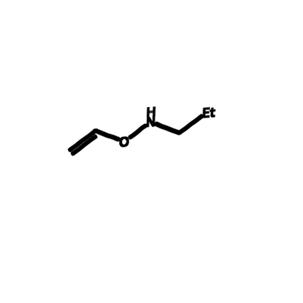 C=CONCCC